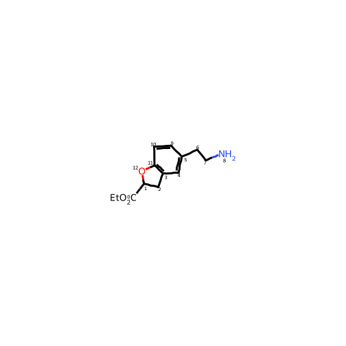 CCOC(=O)C1Cc2cc(CCN)ccc2O1